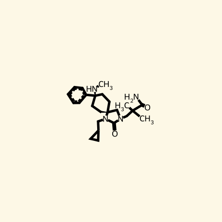 CN[C@]1(c2ccccc2)CC[C@@]2(CC1)CN(CC(C)(C)C(N)=O)C(=O)N2CC1CC1